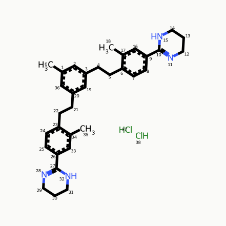 Cc1cc(CCc2ccc(C3=NCCCN3)cc2C)cc(CCc2ccc(C3=NCCCN3)cc2C)c1.Cl.Cl